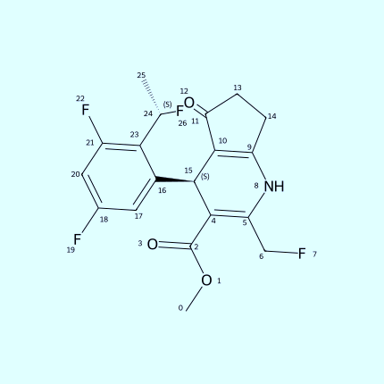 COC(=O)C1=C(CF)NC2=C(C(=O)CC2)[C@@H]1c1cc(F)cc(F)c1[C@H](C)F